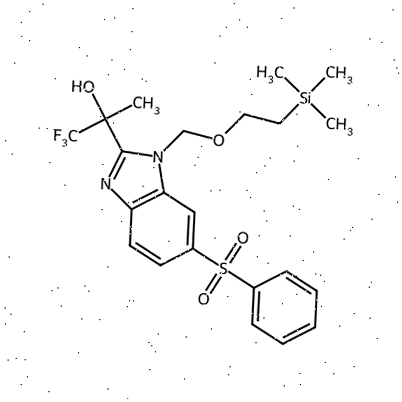 CC(O)(c1nc2ccc(S(=O)(=O)c3ccccc3)cc2n1COCC[Si](C)(C)C)C(F)(F)F